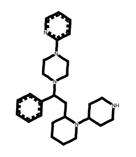 c1ccc(C(CC2CCCCN2C2CCNCC2)N2CCN(c3ccccn3)CC2)cc1